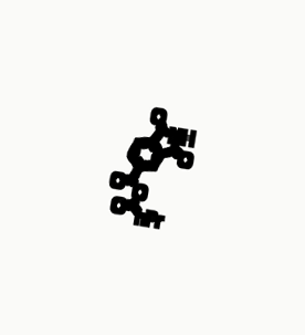 CCCC(=O)OC(=O)c1ccc2c(c1)C(=O)NC2=O